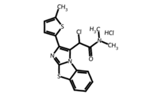 Cc1ccc(-c2nc3sc4ccccc4n3c2C(Cl)C(=O)N(C)C)s1.Cl